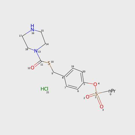 CCCS(=O)(=O)Oc1ccc(CSC(=O)N2CCNCC2)cc1.Cl